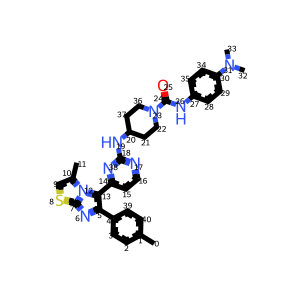 Cc1ccc(-c2nc3scc(C)n3c2-c2ccnc(NC3CCN(C(=O)Nc4ccc(N(C)C)cc4)CC3)n2)cc1